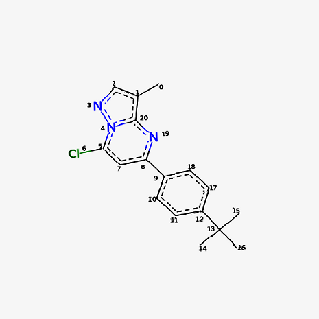 Cc1cnn2c(Cl)cc(-c3ccc(C(C)(C)C)cc3)nc12